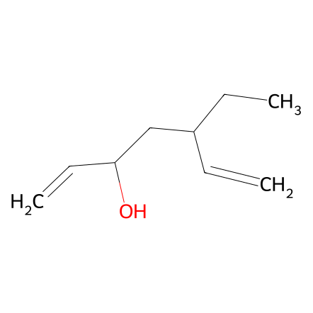 C=CC(O)CC(C=C)CC